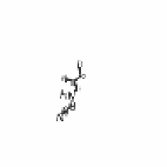 [N-]=[N+]=NNCC(I)CI